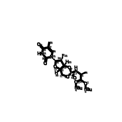 CCCCOC(OCCCC)[C@H](C)NP1(=O)OC[C@@H]2O[C@H](n3cc(C)c(=O)[nH]c3=O)[C@H](F)[C@H]2O1